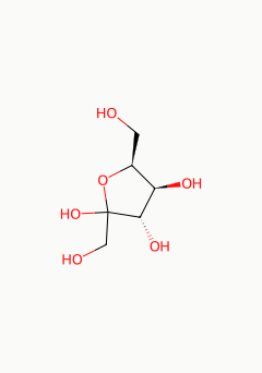 OC[C@@H]1OC(O)(CO)[C@@H](O)[C@@H]1O